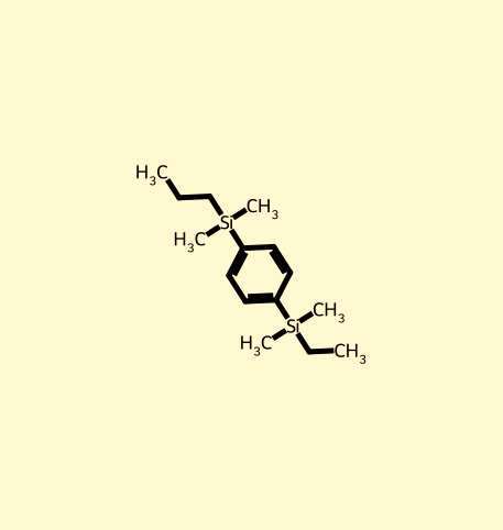 CCC[Si](C)(C)c1ccc([Si](C)(C)CC)cc1